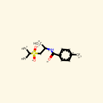 CCCC(CCC)S(=O)(=O)CC(NC(=O)c1ccc(C(F)(F)F)cc1)C(=O)O